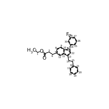 CCOC(=O)CCc1ccc2c(c1)c(CCc1ccccc1)cn2-c1cccc(F)c1